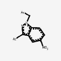 CC(=O)Cn1nc(C(C)=O)c2cc([N+](=O)[O-])ccc21